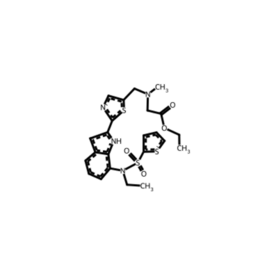 CCOC(=O)CN(C)Cc1cnc(-c2cc3cccc(N(CC)S(=O)(=O)c4cccs4)c3[nH]2)s1